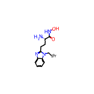 CC(C)Cn1c(CC[C@H](N)C(=O)NO)nc2ccccc21